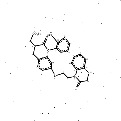 CCOC(=O)CN(Cc1ccc(OCCN2C(=O)CSc3ccccc32)cc1)C(=O)Oc1ccccc1Cl